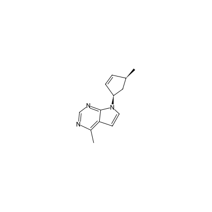 Cc1ncnc2c1ccn2[C@H]1C=C[C@@H](C)C1